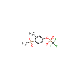 Cc1cc(OS(=O)(=O)C(F)(F)F)ccc1S(C)(=O)=O